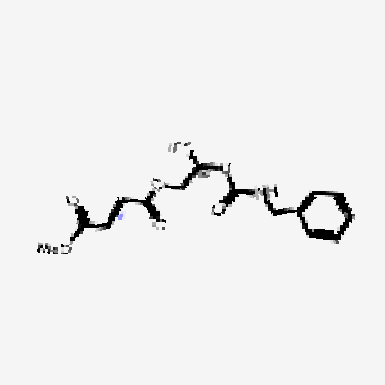 COC(=O)/C=C/C(=O)OC[C@H](OC(=O)NCc1ccccc1)C(C)C